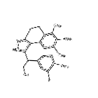 COc1ccc(C(CO)c2[nH]nc3c2-c2cc(OC)c(OC)c(OC)c2CC3)cc1F